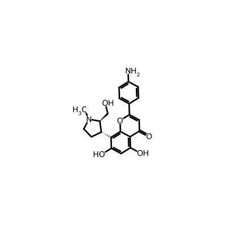 CN1CC[C@@H](c2c(O)cc(O)c3c(=O)cc(-c4ccc(N)cc4)oc23)[C@@H]1CO